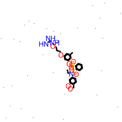 CCN(c1ccc2c(c1)OOC2)S(=O)(=O)c1ccccc1S(=O)(=O)Oc1cc(C)cc(OCCCONC(=N)N)c1